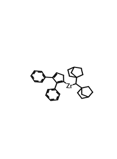 C1=C(c2ccccc2)C(c2ccccc2)=[C]([Zr][CH](C23CCC(CC2)C3)C23CCC(CC2)C3)C1